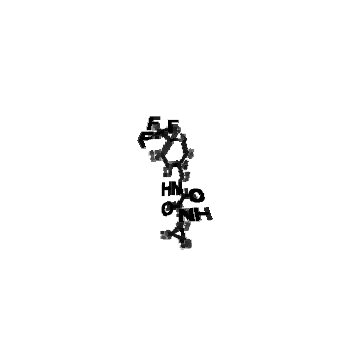 O=C(NCc1ccc(C(F)(F)F)cc1)C(=O)NC1CC1